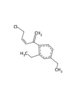 C=C(/C=C\CCl)c1ccc(CC)cc1CC